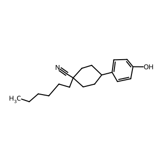 CCCCCCC1(C#N)CCC(c2ccc(O)cc2)CC1